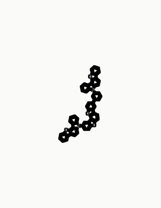 c1cc(-c2ccc3oc4c(ccc5oc6ccc(-n7c8ccccc8c8c9oc%10ccccc%10c9ccc87)cc6c54)c3c2)cc(-n2c3ccccc3c3c4oc5ccccc5c4ccc32)c1